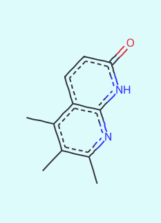 Cc1nc2[nH]c(=O)ccc2c(C)c1C